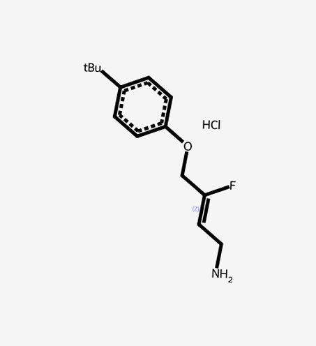 CC(C)(C)c1ccc(OC/C(F)=C/CN)cc1.Cl